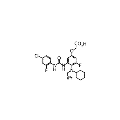 CC(C)CN(c1c(F)cc(OCC(=O)O)cc1NC(=O)Nc1ccc(Cl)cc1F)C1CCCCC1